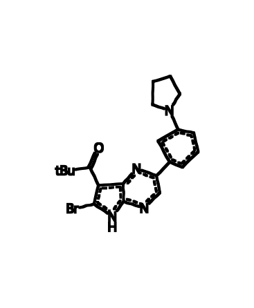 CC(C)(C)C(=O)c1c(Br)[nH]c2ncc(-c3cccc(N4CCCC4)c3)nc12